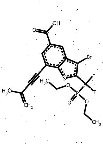 C=C(C)C#Cc1cc(C(=O)O)cc2c(Br)c(C(F)(F)P(=O)(OCC)OCC)sc12